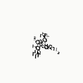 COc1ccc(CC(NC(=O)c2ccc(F)c(C(F)(F)F)c2)(c2ccc(F)cc2)c2cc(F)cc(OC(F)(F)C(F)F)c2)cc1